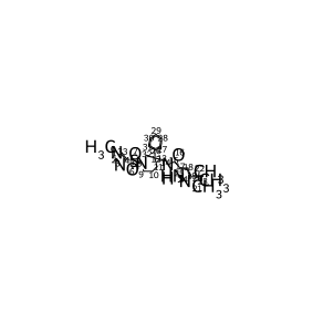 Cn1cnc(S(=O)(=O)N2CCCC(CNC(=O)c3cc(C(C)(C)C)n[nH]3)(c3ccccc3)C2)c1